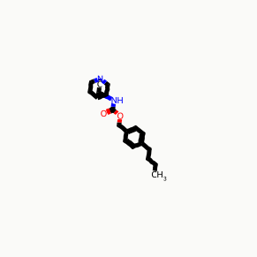 CCCCc1ccc(COC(=O)NC2CN3CCC2CC3)cc1